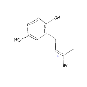 C/C(=C\Cc1cc(O)ccc1O)C(C)C